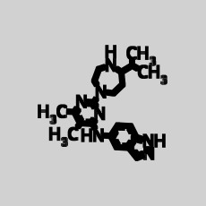 Cc1nc(N2CCNC(C(C)C)CC2)nc(Nc2ccc3[nH]ncc3c2)c1C